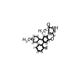 C[C@@H]1C(=O)NN=C2COc3cc(-c4ccccc4F)c(C4CCN(C)CC4)cc3N21